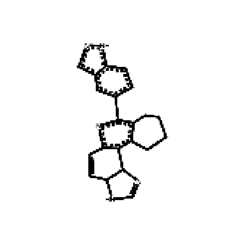 C1=CC2NC=NC2c2c1nc(-c1ccc3[nH]ncc3c1)c1c2CCCC1